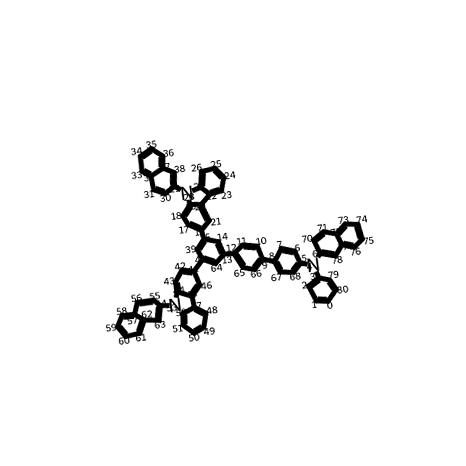 c1ccc(N(c2ccc(-c3ccc(-c4cc(-c5ccc6c(c5)c5ccccc5n6-c5ccc6ccccc6c5)cc(-c5ccc6c(c5)c5ccccc5n6-c5ccc6ccccc6c5)c4)cc3)cc2)c2ccc3ccccc3c2)cc1